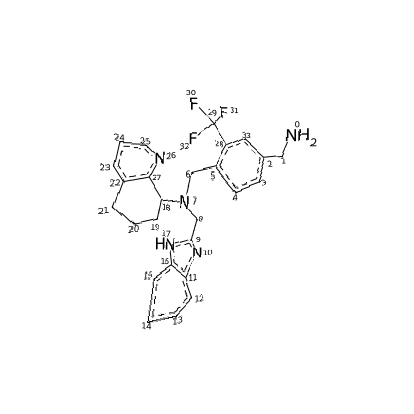 NCc1ccc(CN(Cc2nc3ccccc3[nH]2)C2CCCc3cccnc32)c(C(F)(F)F)c1